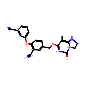 Cc1c(OCc2ccc(Oc3cccc(C#N)c3)c(C#N)c2)nc(=O)n2c1NCC2